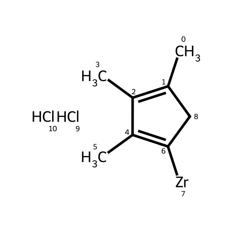 CC1=C(C)C(C)=[C]([Zr])C1.Cl.Cl